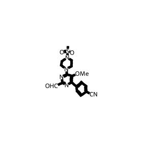 COc1c(-c2ccc(C#N)cc2)nc(C=O)nc1N1CCN(S(C)(=O)=O)CC1